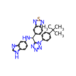 CC(C)(C)c1ccc(-n2nnnc2C(Nc2ccc3[nH]cnc3c2)c2ccc3nsnc3c2)cc1